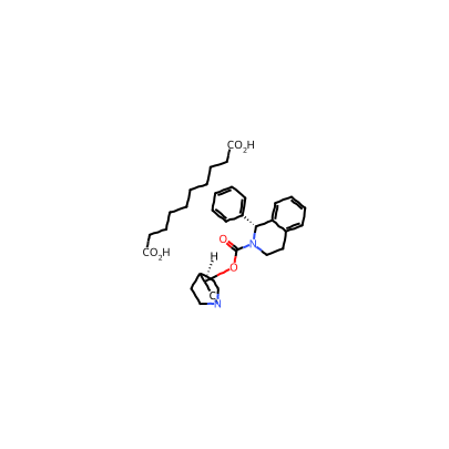 O=C(O)CCCCCCCCC(=O)O.O=C(O[C@H]1CN2CCC1CC2)N1CCc2ccccc2[C@H]1c1ccccc1